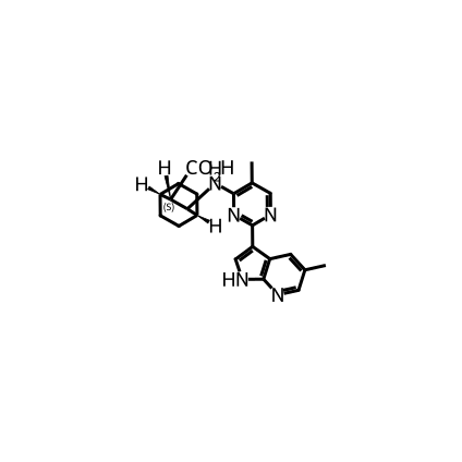 Cc1cnc2[nH]cc(-c3ncc(C)c(NC4[C@H]5CC[C@H](CC5)[C@@H]4C(=O)O)n3)c2c1